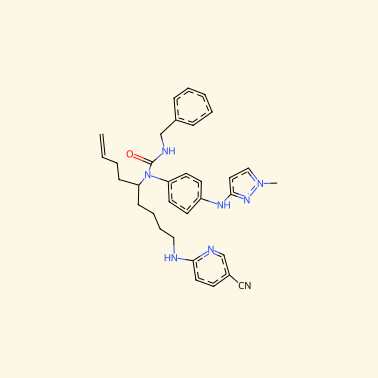 C=CCCC(CCCCNc1ccc(C#N)cn1)N(C(=O)NCc1ccccc1)c1ccc(Nc2ccn(C)n2)cc1